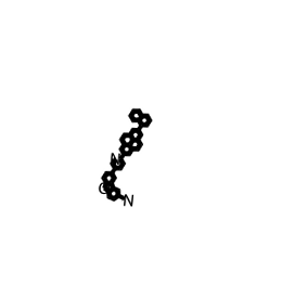 N#Cc1ccc2oc3ccc(-c4ccc(-c5cc6ccc7cc(-c8cccc9ccccc89)cc8ccc(c5)c6c78)nc4)cc3c2c1